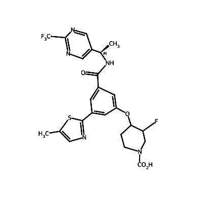 Cc1cnc(-c2cc(OC3CCN(C(=O)O)CC3F)cc(C(=O)N[C@H](C)c3cnc(C(F)(F)F)nc3)c2)s1